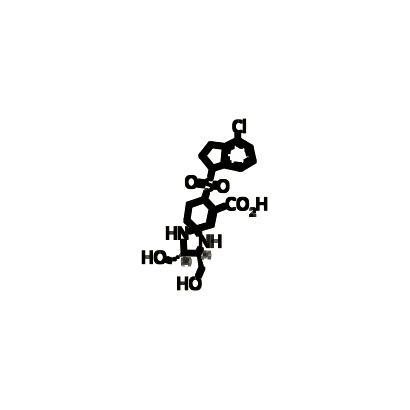 O=C(O)C1=CC2(CCC1S(=O)(=O)C1CCc3c(Cl)cccc31)N[C@@H](CO)[C@H](CO)N2